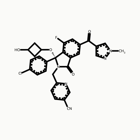 Cn1cc(C(=O)c2cc(F)c3c(c2)C(=O)N(Cc2ccc(C#N)cn2)[C@@]3(OC2CC(O)C2)c2ccc(Cl)cc2)cn1